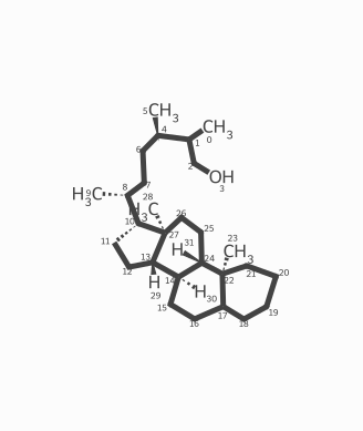 CC(CO)[C@H](C)CC[C@@H](C)[C@H]1CC[C@H]2[C@@H]3CCC4CCCC[C@]4(C)[C@H]3CC[C@]12C